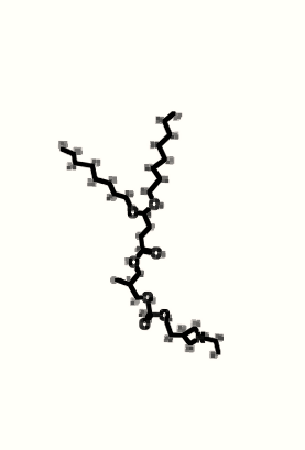 [CH2]C(COC(=O)CCC(OCCCCCCCC)OCCCCCCCC)COC(=O)OCC1CN(CC)C1